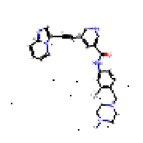 CN1CCN(Cc2ccc(NC(=O)C3=CNCC(C#Cc4cnc5ccccn45)=C3)cc2C(F)(F)F)CC1